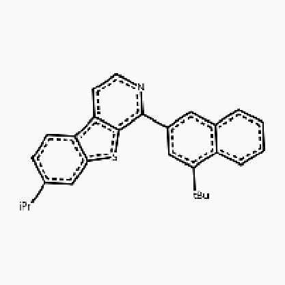 CC(C)c1ccc2c(c1)sc1c(-c3cc(C(C)(C)C)c4ccccc4c3)nccc12